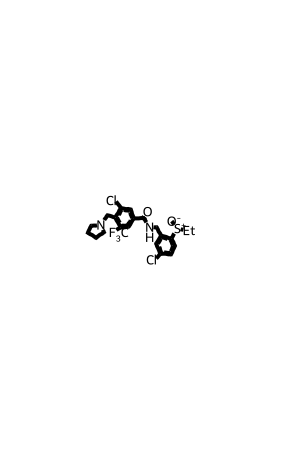 CC[S+]([O-])c1ccc(Cl)cc1CNC(=O)c1cc(Cl)c(CN2CCCC2)c(C(F)(F)F)c1